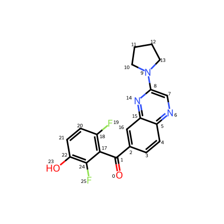 O=C(c1ccc2ncc(N3CCCC3)nc2c1)c1c(F)ccc(O)c1F